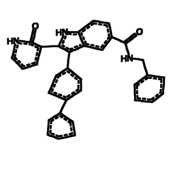 O=C(NCc1ccccc1)c1ccc2[nH]c(-c3ccc[nH]c3=O)c(-c3ccc(-c4ccccc4)cc3)c2c1